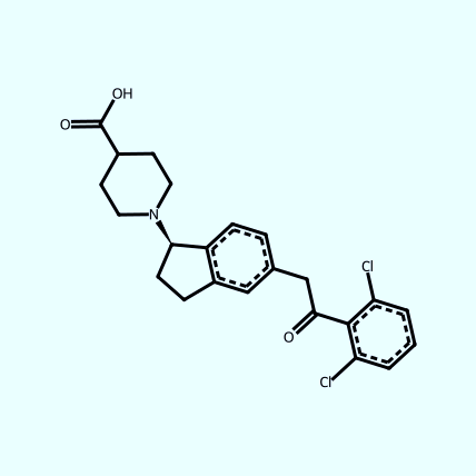 O=C(Cc1ccc2c(c1)CC[C@H]2N1CCC(C(=O)O)CC1)c1c(Cl)cccc1Cl